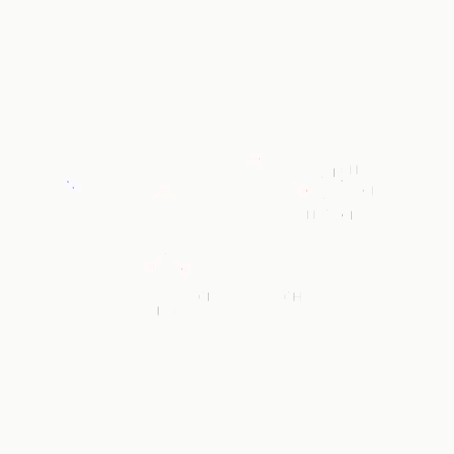 CCCCCCC.CCOC(=O)Cc1ccc(C#N)cc1OCc1cc(I)c2oc(CO[Si](C)(C)C(C)(C)C)cc2c1